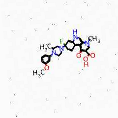 COc1cccc(N2CCN(C3(F)C=CC4=c5c(=O)c(C(=O)O)cn(C)c5=CNC4=C3)CC2C)c1